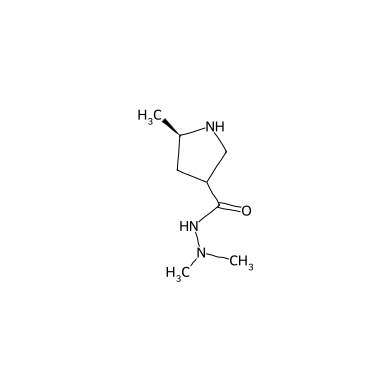 C[C@@H]1CC(C(=O)NN(C)C)CN1